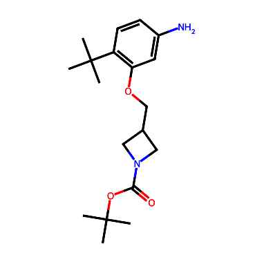 CC(C)(C)OC(=O)N1CC(COc2cc(N)ccc2C(C)(C)C)C1